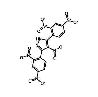 O=[N+]([O-])c1ccc(-c2n[nH]c(-c3ccc([N+](=O)[O-])cc3[N+](=O)[O-])c2[N+](=O)[O-])c([N+](=O)[O-])c1